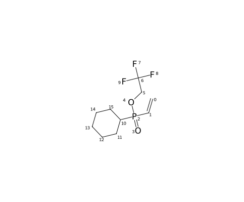 C=CP(=O)(OCC(F)(F)F)C1CCCCC1